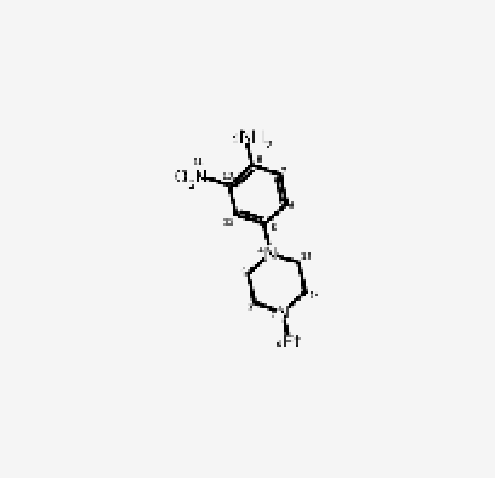 CCN1CCN(c2ccc(N)c([N+](=O)[O-])c2)CC1